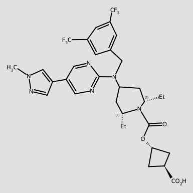 CC[C@@H]1CC(N(Cc2cc(C(F)(F)F)cc(C(F)(F)F)c2)c2ncc(-c3cnn(C)c3)cn2)C[C@H](CC)N1C(=O)O[C@H]1C[C@H](C(=O)O)C1